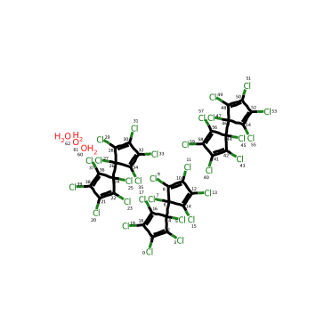 ClC1=C(Cl)C(Cl)(C2(Cl)C(Cl)=C(Cl)C(Cl)=C2Cl)C(Cl)=C1Cl.ClC1=C(Cl)C(Cl)(C2(Cl)C(Cl)=C(Cl)C(Cl)=C2Cl)C(Cl)=C1Cl.ClC1=C(Cl)C(Cl)(C2(Cl)C(Cl)=C(Cl)C(Cl)=C2Cl)C(Cl)=C1Cl.O.O.O